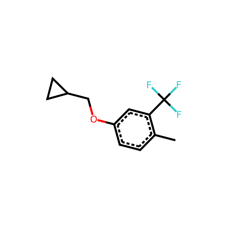 Cc1ccc(OCC2CC2)cc1C(F)(F)F